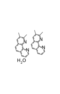 Cc1cc2ccc3cccnc3c2nc1C.Cc1cc2ccc3cccnc3c2nc1C.O